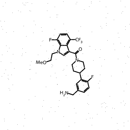 COCCn1cc(C(=O)N2CCC(c3cc(CN)ccc3F)CC2)c2c(C(F)(F)F)ccc(F)c21